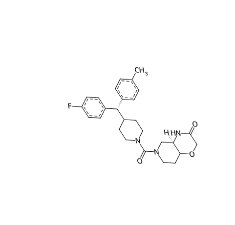 Cc1ccc([C@@H](c2ccc(F)cc2)C2CCN(C(=O)N3CCC4OCC(=O)N[C@@H]4C3)CC2)cc1